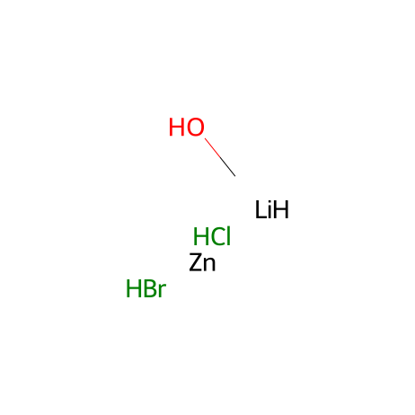 Br.CO.Cl.[LiH].[Zn]